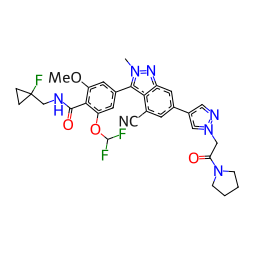 COc1cc(-c2c3c(C#N)cc(-c4cnn(CC(=O)N5CCCC5)c4)cc3nn2C)cc(OC(F)F)c1C(=O)NCC1(F)CC1